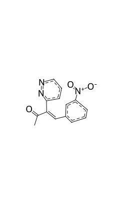 CC(=O)/C(=C/c1cccc([N+](=O)[O-])c1)c1cccnn1